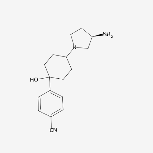 N#Cc1ccc(C2(O)CCC(N3CC[C@@H](N)C3)CC2)cc1